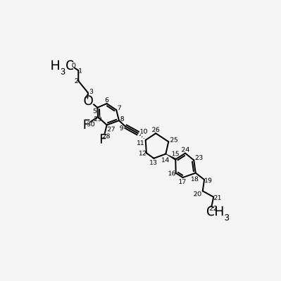 CCCCOc1ccc(C#C[C@H]2CC[C@H](c3ccc(CCCC)cc3)CC2)c(F)c1F